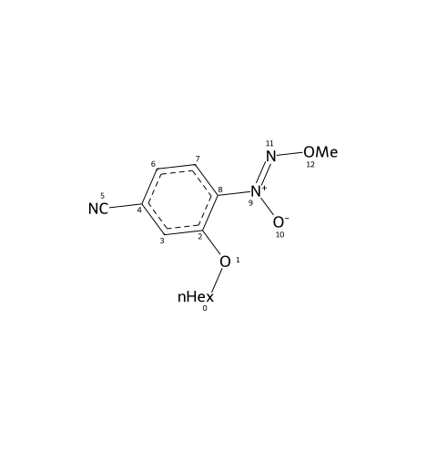 CCCCCCOc1cc(C#N)ccc1/[N+]([O-])=N/OC